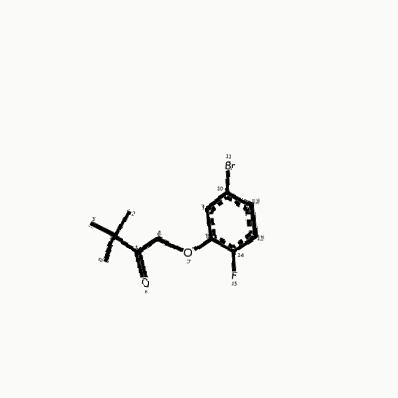 CC(C)(C)C(=O)COc1cc(Br)ccc1F